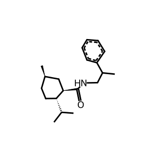 CC(CNC(=O)[C@@H]1C[C@H](C)CC[C@H]1C(C)C)c1ccccc1